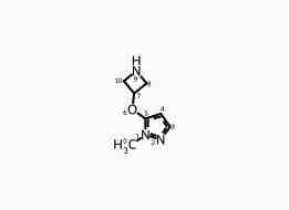 Cn1nccc1OC1CNC1